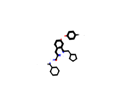 CC(C)(C)c1ccc(Oc2ccc3cc(C(=O)NC(C(=O)O)C4CCCCC4)nc(CC4CCCC4)c3c2)cc1